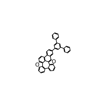 c1ccc(-c2cc(-c3ccccc3)cc(-c3ccc4c(c3)c3oc5cccc6c5c3c3c4ccc4oc5cccc-6c5c43)c2)cc1